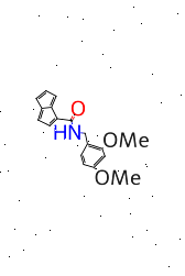 COc1ccc(CNC(=O)C2=CC=C3C=CC=C32)c(OC)c1